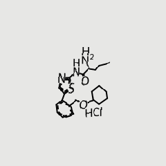 CCC[C@H](N)C(=O)Nc1ncc(-c2ccccc2COC2CCCCC2)s1.Cl